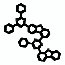 c1ccc(-c2nc(-c3ccccc3)nc(-c3ccc4c(c3)sc3cccc(-c5nc(-c6ccccc6)nc(-c6cccc7c6sc6ccccc67)n5)c34)n2)cc1